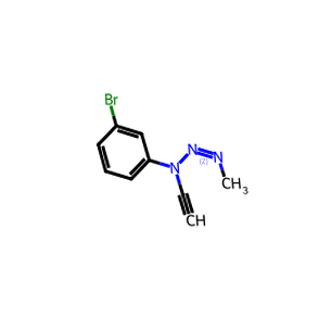 C#CN(/N=N\C)c1cccc(Br)c1